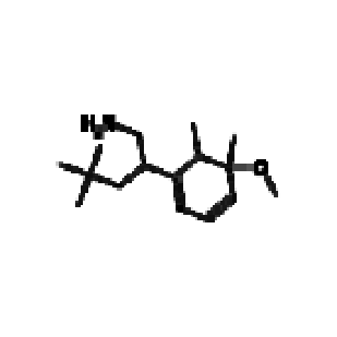 COC1(C)C=CC=C(C(CN)CC(C)(C)C)C1C